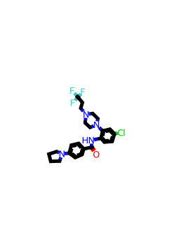 O=C(Nc1ccc(Cl)cc1N1CCN(CCC(F)(F)F)CC1)c1ccc(N2CCCC2)cc1